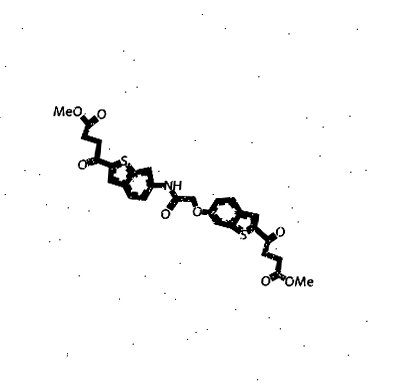 COC(=O)CCC(=O)c1cc2ccc(NC(=O)COc3ccc4cc(C(=O)CCC(=O)OC)sc4c3)cc2s1